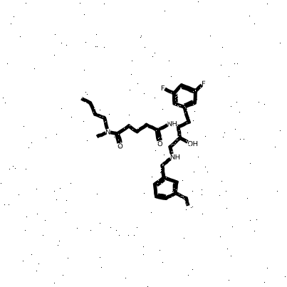 CCCCN(C)C(=O)CCCC(=O)NC(Cc1cc(F)cc(F)c1)C(O)CNCc1cccc(CC)c1